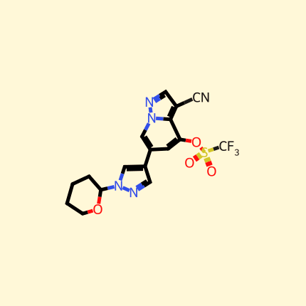 N#Cc1cnn2cc(-c3cnn(C4CCCCO4)c3)cc(OS(=O)(=O)C(F)(F)F)c12